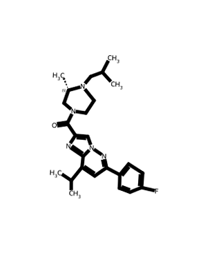 C[C](C)CN1CCN(C(=O)c2cn3nc(-c4ccc(F)cc4)cc(C(C)C)c3n2)C[C@@H]1C